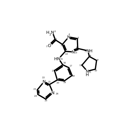 NC(=O)c1ncc(NC2CCNC2)nc1Nc1cccc(-c2ncccn2)c1